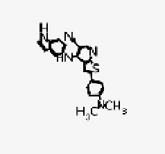 CN(C)c1ccc(-c2cc3c(Nc4ccc5[nH]ccc5c4)c(C#N)cnc3s2)cc1